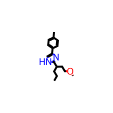 CCCC(CCOC)c1nc(-c2ccc(C)cc2)c[nH]1